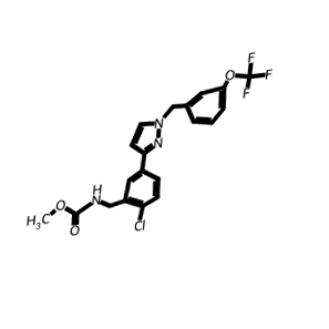 COC(=O)NCc1cc(-c2ccn(Cc3cccc(OC(F)(F)F)c3)n2)ccc1Cl